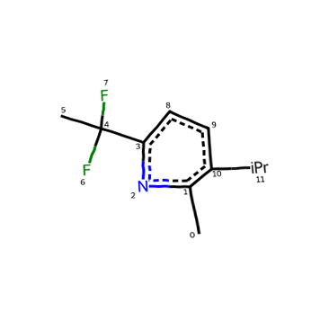 Cc1nc(C(C)(F)F)ccc1C(C)C